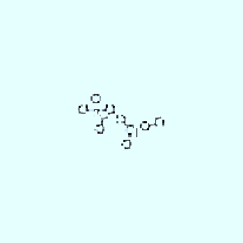 c1ccc(-c2ccc(-c3cc(-c4ccc(-c5cccc6c5cc(-c5ccccc5)n5nc(-c7ccccc7)c(-c7ccccc7)c65)cc4)cc(-c4ccccc4)n3)cc2)cc1